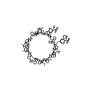 CCC[C@H]1C(=O)N[C@@H]([C@@H](C)CC)C(=O)N(C)CC(=O)N(C)[C@H]2C/C=C\CCN(C2=O)[C@@H](Cc2ccc(C(F)(F)F)cc2)C(=O)N(C)CC(=O)N[C@@H](CCc2ccc(C(F)(F)F)c(Cl)c2)C(=O)N2CC3(CC3)C[C@H]2C(=O)N(C)C2(CCC2)C(=O)N(C)[C@@H]([C@@H](C)CC)C(=O)N(C)[C@H](C(=O)N(C)C)CC(=O)N1C